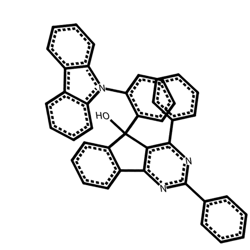 OC1(c2ccccc2-n2c3ccccc3c3ccccc32)c2ccccc2-c2nc(-c3ccccc3)nc(-c3ccccc3)c21